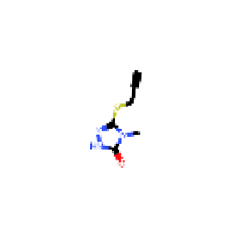 C#CCSc1n[nH]c(=O)n1C